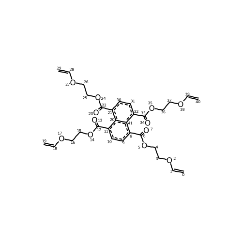 C=COCCOC(=O)c1ccc(C(=O)OCCOC=C)c2c(C(=O)OCCOC=C)ccc(C(=O)OCCOC=C)c12